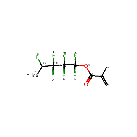 C=C(C)C(=O)OC(F)(F)C(F)(F)C(F)(F)C(F)CCCCCC